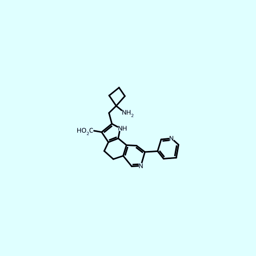 NC1(Cc2[nH]c3c(c2C(=O)O)CCc2cnc(-c4cccnc4)cc2-3)CCC1